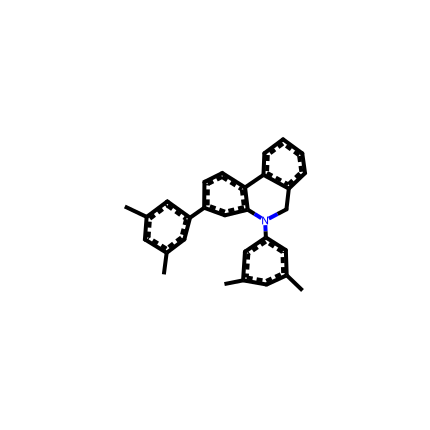 Cc1cc(C)cc(-c2ccc3c(c2)N(c2cc(C)cc(C)c2)Cc2ccccc2-3)c1